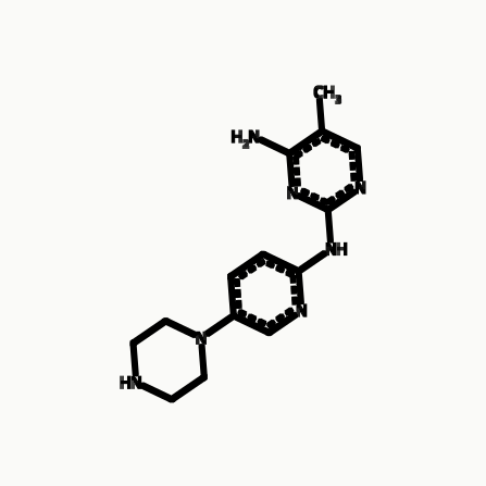 Cc1cnc(Nc2ccc(N3CCNCC3)cn2)nc1N